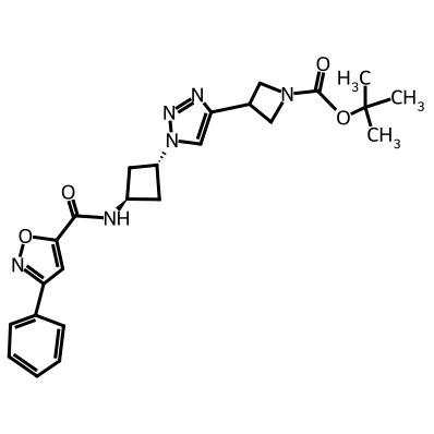 CC(C)(C)OC(=O)N1CC(c2cn([C@H]3C[C@H](NC(=O)c4cc(-c5ccccc5)no4)C3)nn2)C1